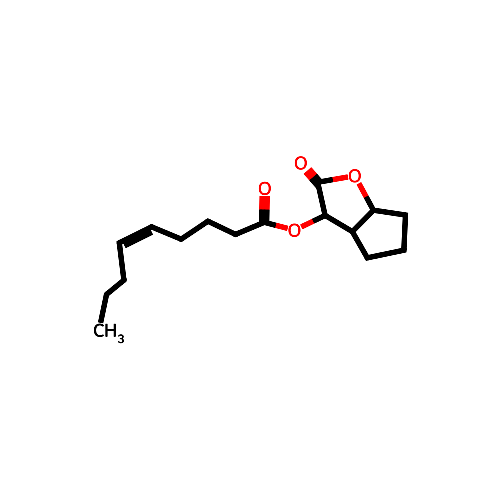 CCC/C=C\CCCC(=O)OC1C(=O)OC2CCCC21